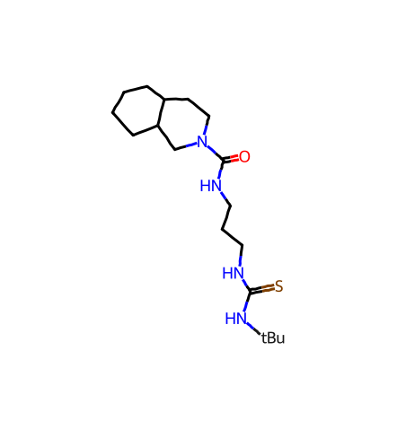 CC(C)(C)NC(=S)NCCCNC(=O)N1CCC2CCCCC2C1